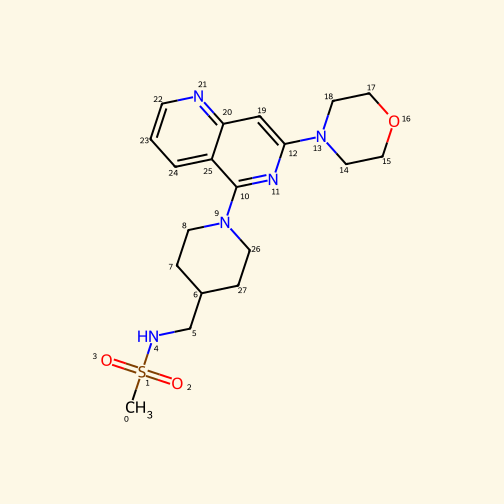 CS(=O)(=O)NCC1CCN(c2nc(N3CCOCC3)cc3ncccc23)CC1